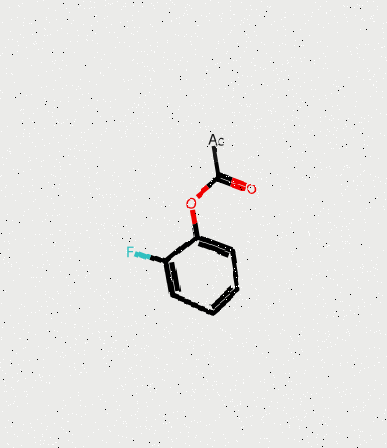 CC(=O)C(=O)Oc1ccccc1F